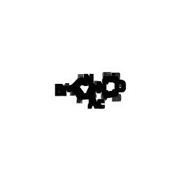 CC(=O)c1cc(Br)cnc1N1CCOCC1